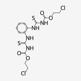 O=C(NC(=S)Nc1ccccc1NC(=S)NC(=O)OCCCl)OCCCl